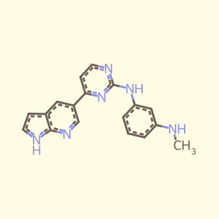 CNc1cccc(Nc2nccc(-c3cnc4[nH]ccc4c3)n2)c1